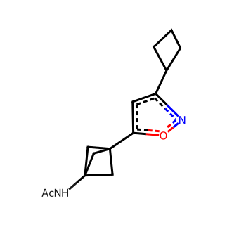 CC(=O)NC12CC(c3cc(C4CCC4)no3)(C1)C2